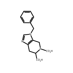 O=C(O)C1Cc2ncn(Cc3ccccc3)c2CN1C(=O)O